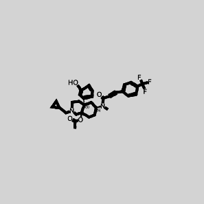 CC(=O)O[C@]12CC[C@H](N(C)C(=O)C#Cc3ccc(C(F)(F)F)cc3)C[C@]1(c1cccc(O)c1)CCN(CC1CC1)C2